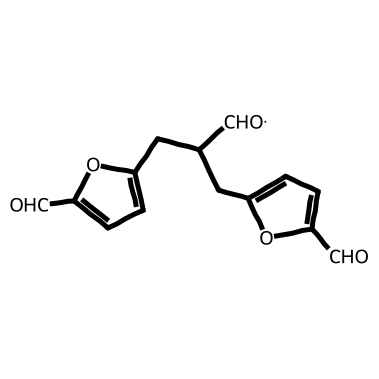 O=[C]C(Cc1ccc(C=O)o1)Cc1ccc(C=O)o1